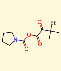 CCC(C)(C)C(=O)C(=O)OC(=O)N1CCCC1